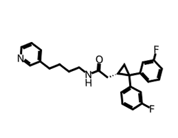 O=C(C[C@@H]1CC1(c1cccc(F)c1)c1cccc(F)c1)NCCCCc1cccnc1